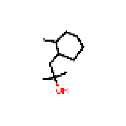 CC1CCCCC1CC(C)(C)O